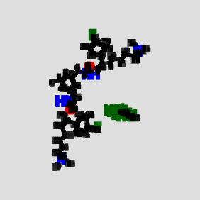 Cc1cc(CNOCC(CCCCCN(C)C)c2ccc(F)cc2)cc(CNOCC(CCCCCN(C)C)c2ccc(F)cc2)c1.Cl.Cl.Cl.Cl